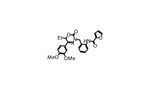 CCC1OC(=O)N(Cc2ccccc2NC(=O)c2ccco2)N=C1c1ccc(OC)c(OC)c1